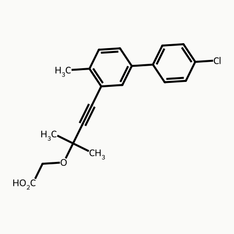 Cc1ccc(-c2ccc(Cl)cc2)cc1C#CC(C)(C)OCC(=O)O